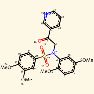 COc1ccc(OC)c(N(CC(=O)c2cccnc2)S(=O)(=O)c2ccc(OC)c(OC)c2)c1